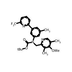 COc1c(C)cnc(CN(C(=O)OC(C)(C)C)c2cc(C)cc(-c3cccc(C(F)(F)F)n3)c2)c1C